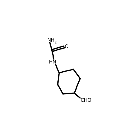 NC(=O)NC1CCC([C]=O)CC1